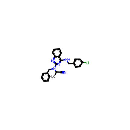 CC(C#N)N(Cc1ccccc1)c1nc(NCc2ccc(Cl)cc2)c2ccccc2n1